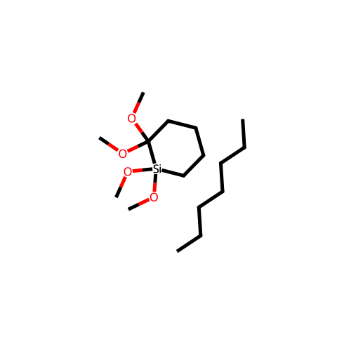 CCCCCCC.COC1(OC)CCCC[Si]1(OC)OC